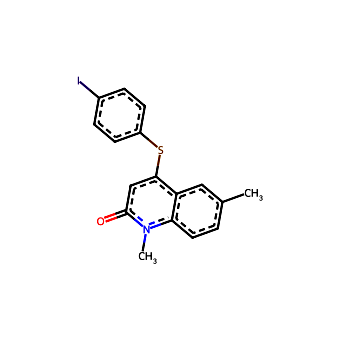 Cc1ccc2c(c1)c(Sc1ccc(I)cc1)cc(=O)n2C